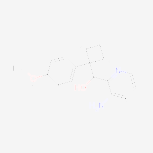 Nc1cccnc1C(O)C1(c2ccc(OC(F)(F)F)cc2)CCC1